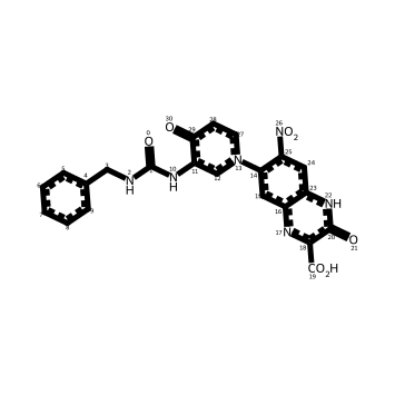 O=C(NCc1ccccc1)Nc1cn(-c2cc3nc(C(=O)O)c(=O)[nH]c3cc2[N+](=O)[O-])ccc1=O